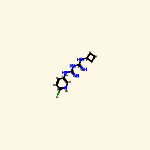 N=C(NC(=N)NC1CCC1)Nc1ccc(F)nc1